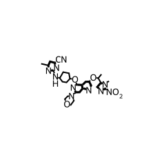 Cc1cc(C#N)nc(NC2CCC(Oc3nc(N4CCOCC4)cc4ncc(OC(C)c5cnc([N+](=O)[O-])n5C)cc34)CC2)n1